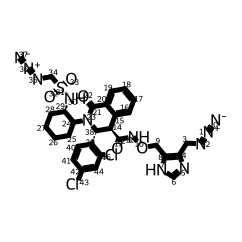 [N-]=[N+]=NCc1nc[nH]c1CONC(=O)[C@@H]1c2ccccc2C(=O)N(C2CCCC[C@@H]2NS(=O)(=O)CN=[N+]=[N-])[C@H]1c1ccc(Cl)cc1Cl